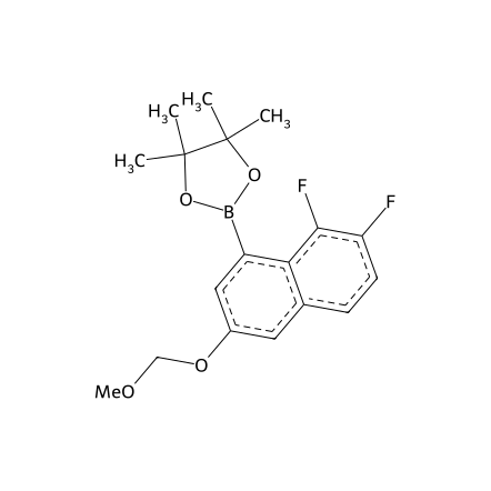 COCOc1cc(B2OC(C)(C)C(C)(C)O2)c2c(F)c(F)ccc2c1